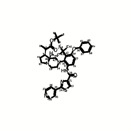 CC(C(=O)OC(C)(C)C)[C@@H]1CCN2CCN(c3c(NC(=O)c4csc(-c5ccnnc5)n4)ccc(Oc4ccccc4)c3C(F)(F)F)C[C@@H]12